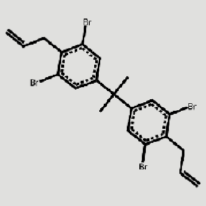 C=CCc1c(Br)cc(C(C)(C)c2cc(Br)c(CC=C)c(Br)c2)cc1Br